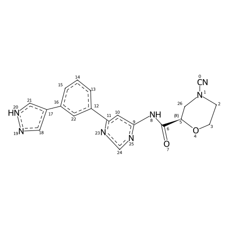 N#CN1CCO[C@@H](C(=O)Nc2cc(-c3cccc(-c4cn[nH]c4)c3)ncn2)C1